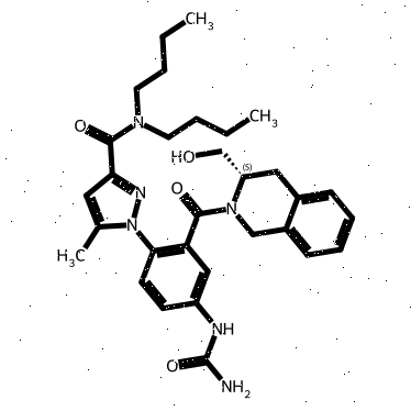 CCCCN(CCCC)C(=O)c1cc(C)n(-c2ccc(NC(N)=O)cc2C(=O)N2Cc3ccccc3C[C@H]2CO)n1